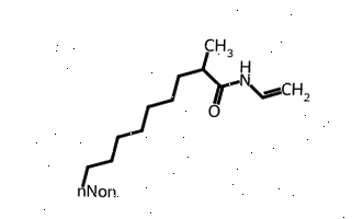 C=CNC(=O)C(C)CCCCCCCCCCCCCCCC